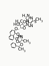 CSc1nc(N)nc2c1ncn2C1O[C@H](COc2ccc3ccccc3c2O/[P+]([O-])=N/[C@@H](C)C(=O)O[C@@H](C)c2ccccc2)[C@@H](O)[C@@]1(C)O